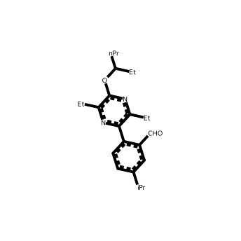 CCCC(CC)Oc1nc(CC)c(-c2ccc(C(C)C)cc2C=O)nc1CC